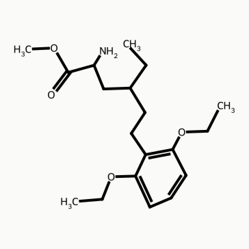 CCOc1cccc(OCC)c1CCC(CC)CC(N)C(=O)OC